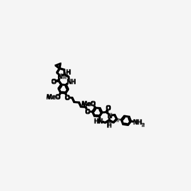 COc1cc2c(cc1OCCCCCOc1cc3c(cc1OC)C(=O)N1CC4(CC4)C[C@H]1CN3)NC[C@@H]1C[C@@H](c3ccc(N)cc3)CN1C2=O